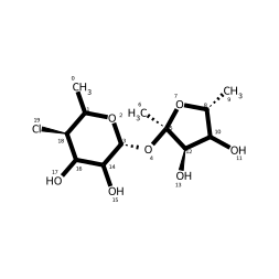 CC1O[C@H](O[C@@]2(C)O[C@H](C)C(O)[C@H]2O)C(O)C(O)[C@H]1Cl